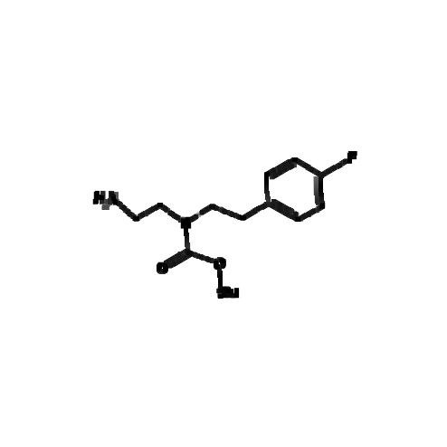 CC(C)(C)OC(=O)N(CCN)CCc1ccc(F)cc1